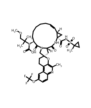 COCC(C)(C)N(C(=O)O)[C@H]1CCCCC/C=C\[C@@H]2C[C@@]2(C(=O)NS(=O)(=O)C2(C)CC2)NC(=O)[C@@H]2C[C@]3(CCc4c(c(C)nc5ccc(OC(F)(F)F)cc45)O3)CN2C1=O